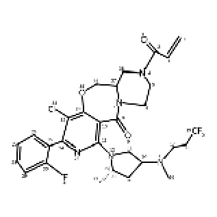 C=CC(=O)N1CCN2C(=O)c3c(N4CC(N(C)CCC(F)(F)F)C[C@@H]4C)nc(-c4ccccc4F)c(Cl)c3OCC2C1